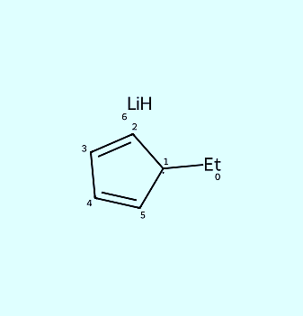 CC[C]1C=CC=C1.[LiH]